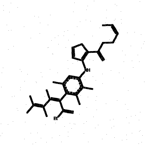 C=C(CC/C=C\C)C1=C(Nc2cc(C)c(/C(C(=C)CC)=C(\C)C(C)=C(C)C)c(C)c2C)C=CC1